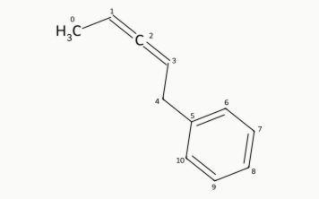 CC=C=CCc1ccccc1